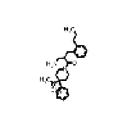 CCCc1ccccc1CC(CN)C(=O)N1CCC(c2ccccc2)(N(C)C)CC1